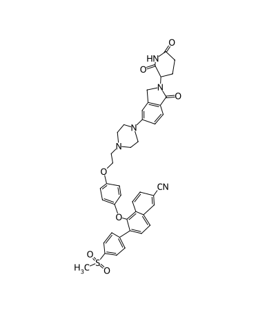 CS(=O)(=O)c1ccc(-c2ccc3cc(C#N)ccc3c2Oc2ccc(OCCN3CCN(c4ccc5c(c4)CN(C4CCC(=O)NC4=O)C5=O)CC3)cc2)cc1